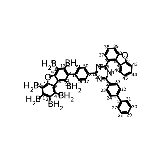 Bc1c(B)c(B)c2c(oc3c(B)c(B)c(-c4ccc(-c5nc(-c6ccc(-c7ccccc7)cc6)nc(-c6cccc7oc8ccccc8c67)n5)cc4)c(B)c32)c1B